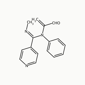 C=C(C=O)N(/C(=N\C)c1ccncc1)c1ccccc1